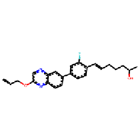 C=CCOc1cnc2cc(-c3ccc(/C=C/CCCC(C)O)c(F)c3)ccc2n1